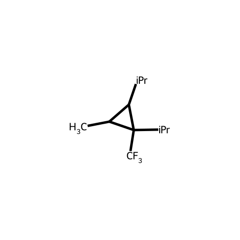 CC(C)C1C(C)C1(C(C)C)C(F)(F)F